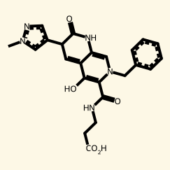 Cn1cc(C2C=C3C(=CN(Cc4ccccc4)C(C(=O)NCCC(=O)O)=C3O)NC2=O)cn1